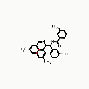 Cc1cccc(/C=N\C(c2cccc(C)c2)C(NC(=O)c2cccc(C)c2)c2cccc(C)c2)c1